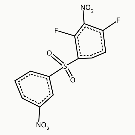 O=[N+]([O-])c1cccc(S(=O)(=O)c2ccc(F)c([N+](=O)[O-])c2F)c1